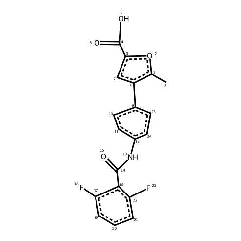 Cc1oc(C(=O)O)cc1-c1ccc(NC(=O)c2c(F)cccc2F)cc1